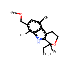 CCCOCc1cc(C#N)c2c3c([nH]c2c1C)C(CCC)(CC(=O)O)OCC3